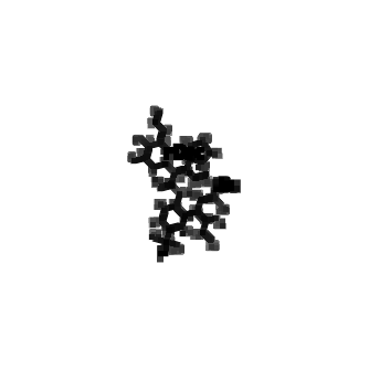 C=C/C=C(CCCCCCCCCC)\C(C)=C(\C)CC/C(C(=C)Cc1ccc(C(C)(C)F)cc1C(/C=C(\C)C(C)(C)C)=C(/C)C=C)=C(/C=C)C1(C)CCCC1